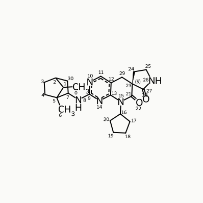 CC1C2CCC1(C)C(Nc1ncc3c(n1)N(C1CCCC1)C(=O)[C@]1(CCNC1=O)C3)C2